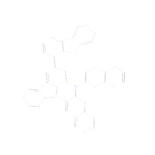 c1ccc2c(c1)B1c3cc4ccccc4cc3N(c3ccc4ccccc4c3)c3cc(-c4cccc5c4sc4ccccc45)cc-2c31